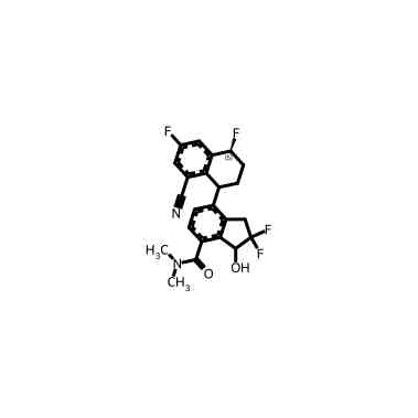 CN(C)C(=O)c1ccc(C2CC[C@H](F)c3cc(F)cc(C#N)c32)c2c1C(O)C(F)(F)C2